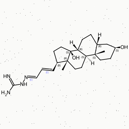 C[C@]12CC[C@H](O)C[C@H]1CC[C@@H]1[C@@H]2CC[C@]2(C)[C@@H](/C=C/C=N/NC(=N)N)CC[C@]12O